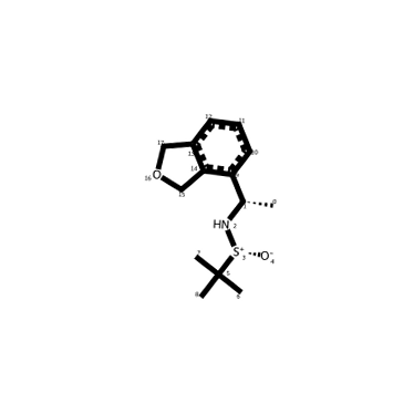 C[C@H](N[S@+]([O-])C(C)(C)C)c1cccc2c1COC2